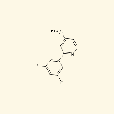 CCOC(=O)c1ccnc(-c2cc(F)cc(F)c2)c1